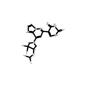 O=c1[nH]cc(-c2cc(N3CC(OC(F)F)C(F)(F)C3)c3nccn3n2)c(=O)[nH]1